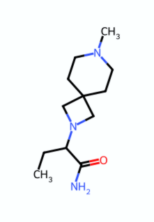 CCC(C(N)=O)N1CC2(CCN(C)CC2)C1